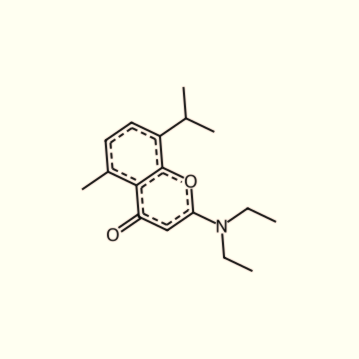 CCN(CC)c1cc(=O)c2c(C)ccc(C(C)C)c2o1